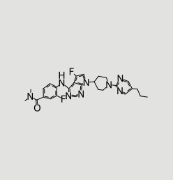 CCCc1cnc(N2CCC(n3cc(F)c4c(Nc5ccc(C(=O)N(C)C)cc5F)ncnc43)CC2)nc1